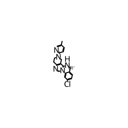 Cc1ccc(N2CCc3ncnc(N[C@H](C)c4ccc(Cl)cc4)c3C2)nc1